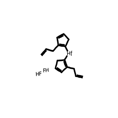 C=CCC1=[C]([Hf][C]2=C(CC=C)C=CC2)CC=C1.F.F